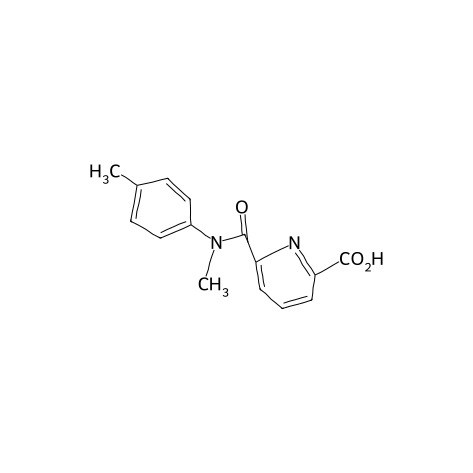 Cc1ccc(N(C)C(=O)c2cccc(C(=O)O)n2)cc1